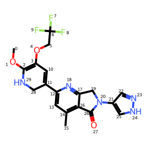 COC1=C(OCC(F)(F)F)C=C(c2cc(C)c3c(n2)CN(c2cn[nH]c2)C3=O)CN1